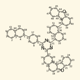 c1ccc2cc(-c3ccc(-c4nc(-c5ccc6ccc7oc8ccccc8c7c6c5)nc(-c5cccc6c(-c7cccc8oc9ccccc9c78)cccc56)n4)cc3)ccc2c1